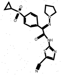 N#Cc1cnc(NC(=O)/C(=N/N2CCCC2)c2ccc(S(=O)(=O)C3CC3)cc2)s1